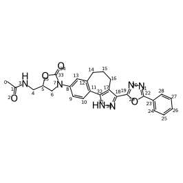 CC(=O)NCC1CN(c2ccc3c(c2)CCCc2c(-c4nnc(-c5ccccc5)o4)n[nH]c2-3)C(=O)O1